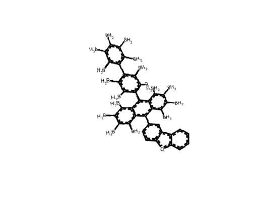 Bc1c(B)c(B)c(-c2c(B)c(B)c(-c3c4c(B)c(B)c(B)c(B)c4c(-c4ccc5oc6ccccc6c5c4)c4c(B)c(B)c(B)c(B)c34)c(B)c2B)c(B)c1B